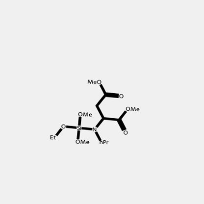 CCCN(C(CC(=O)OC)C(=O)OC)[Si](OC)(OC)OCC